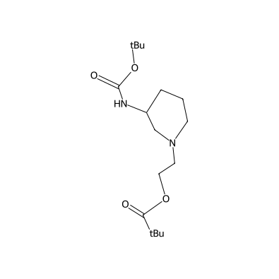 CC(C)(C)OC(=O)NC1CCCN(CCOC(=O)C(C)(C)C)C1